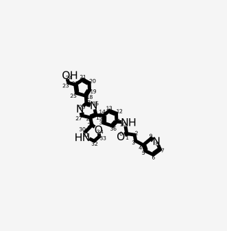 O=C(CCc1cccnc1)Nc1ccc(-c2nc(-c3cccc(CO)c3)ncc2C2CNCCO2)cc1